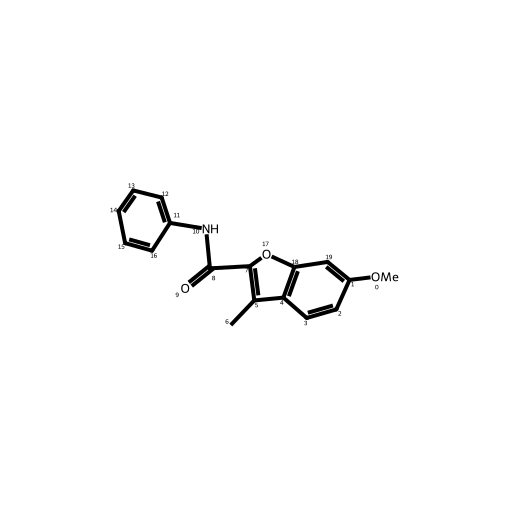 COc1ccc2c(C)c(C(=O)Nc3ccccc3)oc2c1